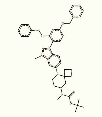 CN(C(=O)OC(C)(C)C)C1CCN(c2ccc3c(-c4ccc(OCc5ccccc5)nc4OCc4ccccc4)nn(C)c3c2)C2(CCC2)C1